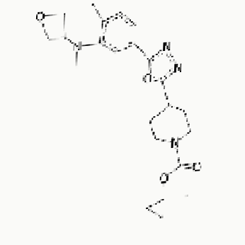 Cc1ccc(-c2nnc(C3CCN(C(=O)OC4(C)CC4)CC3)o2)cc1N(C)C1COC1